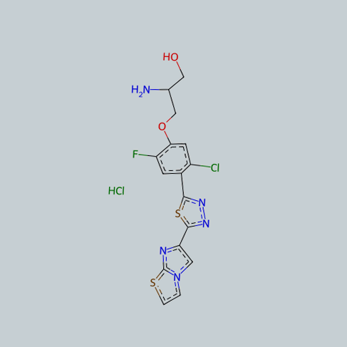 Cl.NC(CO)COc1cc(Cl)c(-c2nnc(-c3cn4ccsc4n3)s2)cc1F